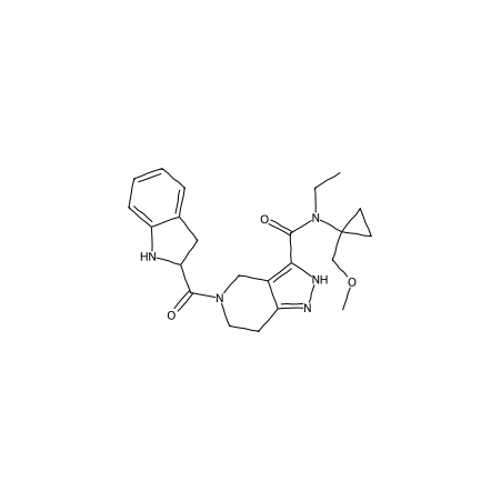 CCN(C(=O)c1[nH]nc2c1CN(C(=O)C1Cc3ccccc3N1)CC2)C1(COC)CC1